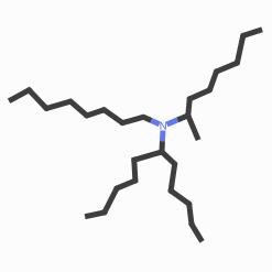 CCCCCCCCN(C(C)CCCCCC)C(CCCCC)CCCCC